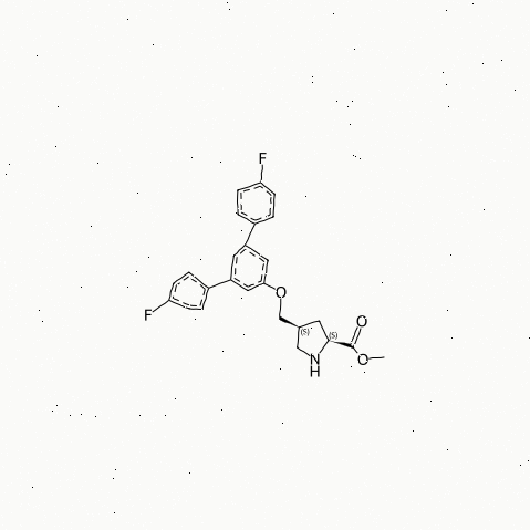 COC(=O)[C@@H]1C[C@H](COc2cc(-c3ccc(F)cc3)cc(-c3ccc(F)cc3)c2)CN1